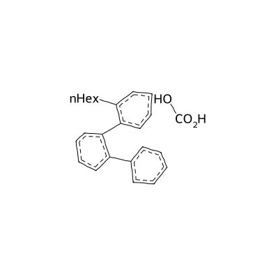 CCCCCCc1ccccc1-c1ccccc1-c1ccccc1.O=C(O)O